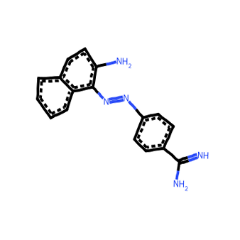 N=C(N)c1ccc(/N=N/c2c(N)ccc3ccccc23)cc1